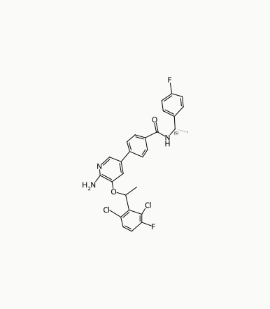 CC(Oc1cc(-c2ccc(C(=O)N[C@@H](C)c3ccc(F)cc3)cc2)cnc1N)c1c(Cl)ccc(F)c1Cl